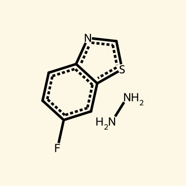 Fc1ccc2ncsc2c1.NN